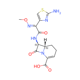 CON=C(C(=O)N[C@@H]1C(=O)N2C(C(=O)O)=CCC[C@@H]12)c1csc(N)n1